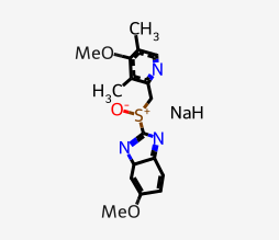 COC1=CC2N=C([S+]([O-])Cc3ncc(C)c(OC)c3C)N=C2C=C1.[NaH]